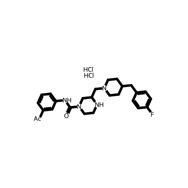 CC(=O)c1cccc(NC(=O)N2CCNC(CN3CCC(Cc4ccc(F)cc4)CC3)C2)c1.Cl.Cl